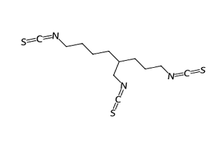 S=C=NCCCCC(CCCN=C=S)CN=C=S